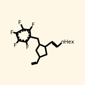 C=CC1CC(/C=C/CCCCCC)C(Cc2c(F)c(F)c(F)c(F)c2F)C1